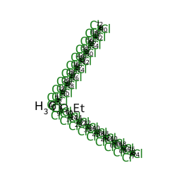 CCOC(C)=O.ClC(Cl)Cl.ClC(Cl)Cl.ClC(Cl)Cl.ClC(Cl)Cl.ClC(Cl)Cl.ClC(Cl)Cl.ClC(Cl)Cl.ClC(Cl)Cl.ClC(Cl)Cl.ClC(Cl)Cl.ClC(Cl)Cl.ClC(Cl)Cl.ClC(Cl)Cl.ClC(Cl)Cl.ClC(Cl)Cl.ClC(Cl)Cl.ClC(Cl)Cl.ClC(Cl)Cl.ClC(Cl)Cl